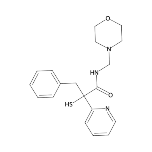 O=C(NCN1CCOCC1)C(S)(Cc1ccccc1)c1ccccn1